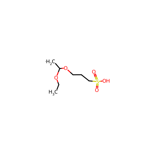 [CH2]C(OCC)OCCCS(=O)(=O)O